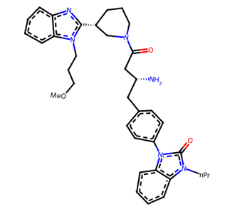 CCCn1c(=O)n(-c2ccc(C[C@@H](N)CC(=O)N3CCC[C@@H](c4nc5ccccc5n4CCCOC)C3)cc2)c2ccccc21